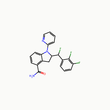 NC(=O)c1cccc2c1CC(C(F)c1cccc(F)c1F)N2c1ccccn1